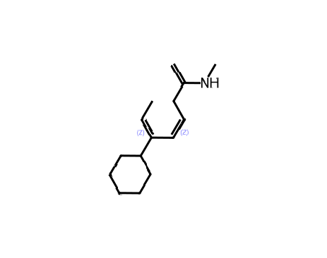 C=C(C/C=C\C(=C/C)C1CCCCC1)NC